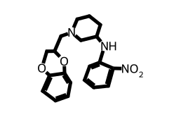 O=[N+]([O-])c1ccccc1NC1CCCN(CC2COc3ccccc3O2)C1